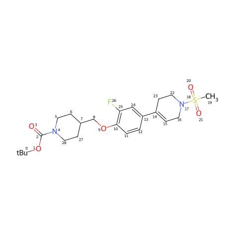 CC(C)(C)OC(=O)N1CCC(COc2ccc(C3=CCN(S(C)(=O)=O)CC3)cc2F)CC1